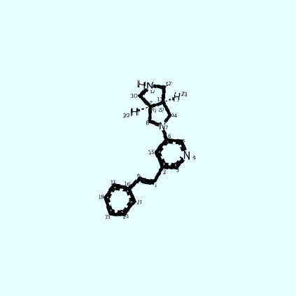 C(=Cc1cncc(N2C[C@H]3CNC[C@H]3C2)c1)c1ccccc1